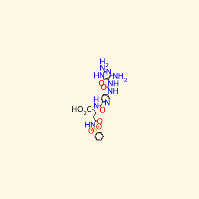 Nc1nc(N)c(NC(=O)Nc2ccc(C(=O)N[C@@H](CCC(=O)NS(=O)(=O)c3ccccc3)C(=O)O)nc2)c(=O)[nH]1